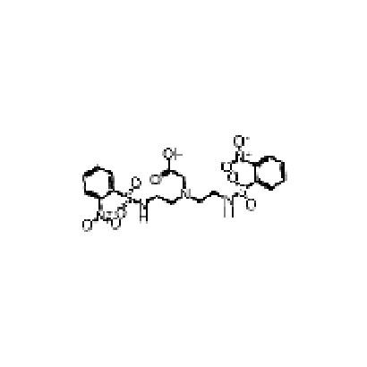 O=C(O)CN(CCNS(=O)(=O)c1ccccc1[N+](=O)[O-])CCNS(=O)(=O)c1ccccc1[N+](=O)[O-]